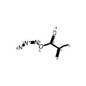 C=C(C)C(=O)ON=[N+]=[N-]